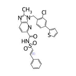 Cc1nc2ccc(C(=O)NS(=O)(=O)/C=C/c3ccccc3)nc2n1Cc1ccc(-c2cccs2)cc1Cl